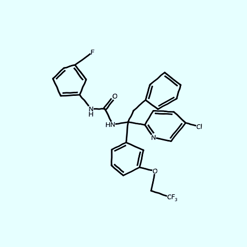 O=C(Nc1cccc(F)c1)NC(Cc1ccccc1)(c1cccc(OCC(F)(F)F)c1)c1ccc(Cl)cn1